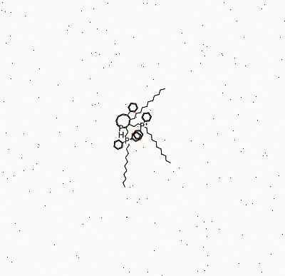 CCCCCCCCCCCc1c(-c2ccccc2)cccc[pH]c(CC[P+](CCCCCCCCCCC)(c2ccccc2)c2ccccc2)c1CC[P+](CCCCCCCCCCC)(c1ccccc1)c1ccccc1